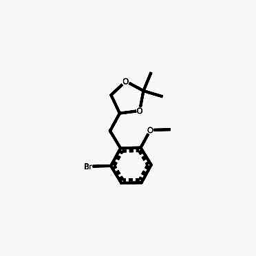 COc1cccc(Br)c1CC1COC(C)(C)O1